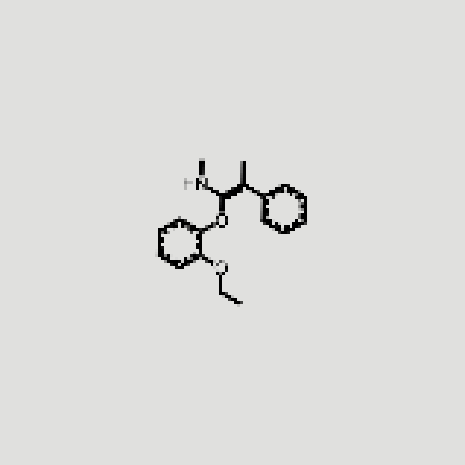 CCOc1ccccc1OC(NC)=C(C)c1ccccc1